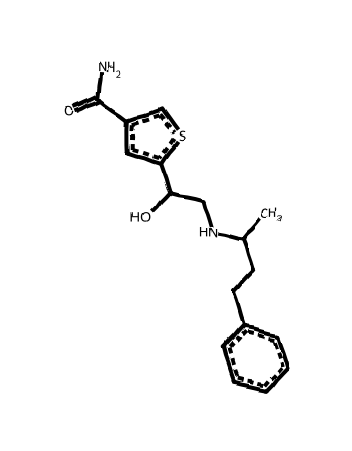 CC(CCc1ccccc1)NCC(O)c1cc(C(N)=O)cs1